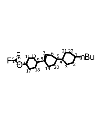 CCCCC1CCC(C2CC=C(C3CCC(OC(F)F)CC3)CC2)CC1